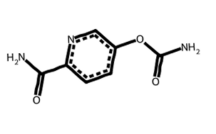 NC(=O)Oc1ccc(C(N)=O)nc1